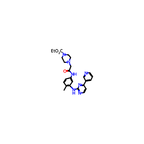 CCOC(=O)N1CCN(CC(=O)Nc2ccc(C)c(Nc3nccc(-c4cccnc4)n3)c2)CC1